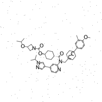 COc1ccc(C23CCC(CN(c4cc(-c5cnn(C(C)C)c5)ccn4)C(=O)[C@H]4CC[C@H](OC(=O)N5CC(OC(C)C)C5)CC4)(CC2)CC3)cc1C